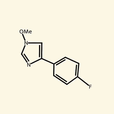 COn1cnc(-c2ccc(F)cc2)c1